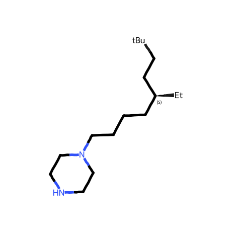 CC[C@@H](CCCCN1CCNCC1)CCC(C)(C)C